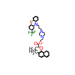 Cc1ccc2ccccc2c1OC(C)C(=O)OCCN1CCN(CCCN2c3ccccc3Sc3ccc(C(F)(F)F)cc32)CC1